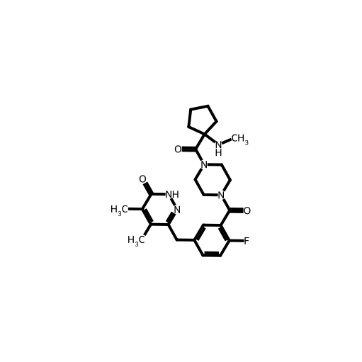 CNC1(C(=O)N2CCN(C(=O)c3cc(Cc4n[nH]c(=O)c(C)c4C)ccc3F)CC2)CCCC1